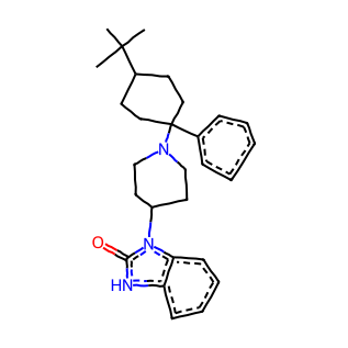 CC(C)(C)C1CCC(c2ccccc2)(N2CCC(n3c(=O)[nH]c4ccccc43)CC2)CC1